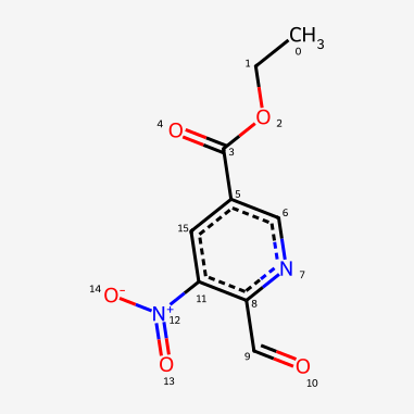 CCOC(=O)c1cnc(C=O)c([N+](=O)[O-])c1